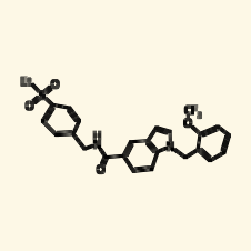 CCS(=O)(=O)c1ccc(CNC(=O)c2ccc3c(ccn3Cc3ccccc3OC(F)(F)F)c2)cc1